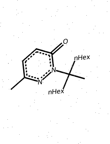 CCCCCCC(C)(CCCCCC)n1nc(C)ccc1=O